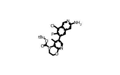 Cc1c(-c2cc3cc(N)ncc3c(Cl)c2F)cnc2c1N(C(=O)OC(C)(C)C)CCO2